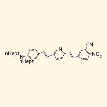 CCCCCCCN(CCCCCCC)c1ccc(/C=C/c2ccc(/C=C/c3ccc([N+](=O)[O-])c(C#N)c3)nc2)cc1